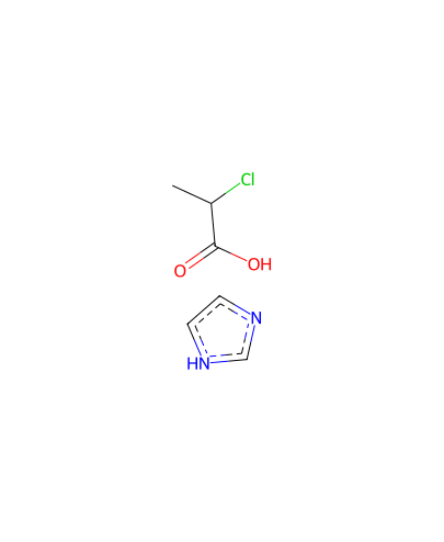 CC(Cl)C(=O)O.c1c[nH]cn1